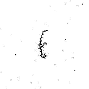 CCCCCCCCCCCCCCCCCc1nc(CCCc2ccccc2)cn1C(C)C